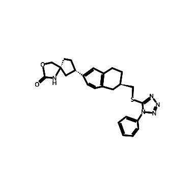 O=C1N[C@@]2(CC[C@H](c3ccc4c(c3)CC[C@@H](CSc3nnnn3-c3ccccc3)C4)C2)CO1